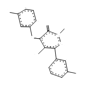 CCn1nc(-c2cccc(F)c2)c(C(C)=O)c(Nc2cccc(Br)c2)c1=O